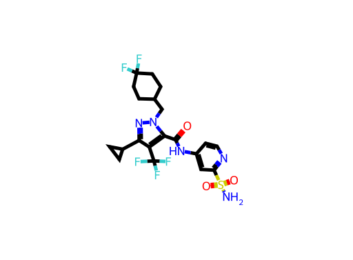 NS(=O)(=O)c1cc(NC(=O)c2c(C(F)(F)F)c(C3CC3)nn2CC2CCC(F)(F)CC2)ccn1